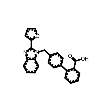 O=C(O)c1ccccc1-c1ccc(Cn2c(-c3ccco3)nc3ccccc32)cc1